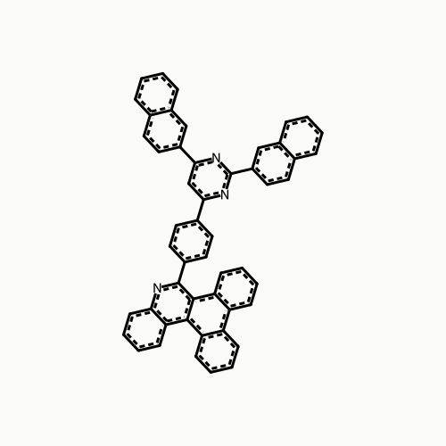 c1ccc2cc(-c3cc(-c4ccc(-c5nc6ccccc6c6c7ccccc7c7ccccc7c56)cc4)nc(-c4ccc5ccccc5c4)n3)ccc2c1